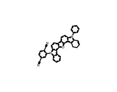 N#Cc1ccc(C#N)c(-n2c3ccccc3c3c4oc5c(ccc6c5c5c(n6-c6ccccc6)C=CCC5)c4ccc32)c1